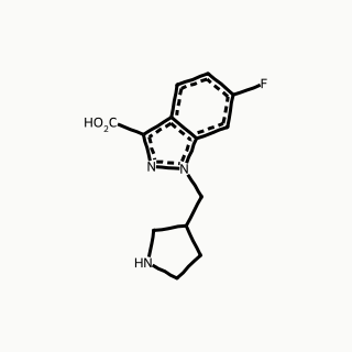 O=C(O)c1nn(CC2CCNC2)c2cc(F)ccc12